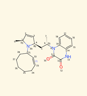 C[C@H]1C=C[C@@H](C[C@H](C)n2c(=O)c(=O)[nH]c3ccccc32)N1C1/C=C\CCCCC1